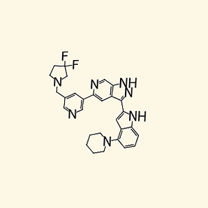 FC1(F)CCN(Cc2cncc(-c3cc4c(-c5cc6c(N7CCCCC7)cccc6[nH]5)n[nH]c4cn3)c2)C1